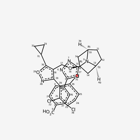 O=C(O)c1ccc(-c2nnc(N3[C@@H]4CC[C@H]3C[C@@H](OCc3c(-c5c(Cl)cccc5Cl)noc3C3CC3)C4)o2)cc1Cl